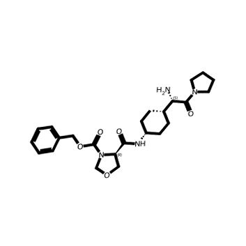 N[C@H](C(=O)N1CCCC1)[C@H]1CC[C@@H](NC(=O)[C@H]2COCN2C(=O)OCc2ccccc2)CC1